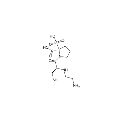 NCCN[C@@H](CS)C(=O)N1CCC[C@]1(C(=O)O)S(=O)(=O)O